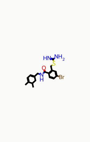 CC1=CC=C(CNC(=O)c2ccc(Br)cc2CSC(=N)N)CC1C